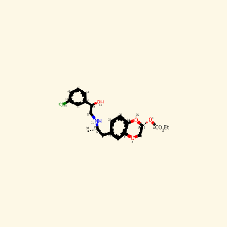 CCOC(=O)O[C@@H]1COc2cc(C[C@H](C)NCC(O)c3cccc(Cl)c3)ccc2O1